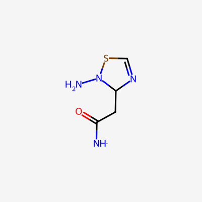 [NH]C(=O)CC1N=CSN1N